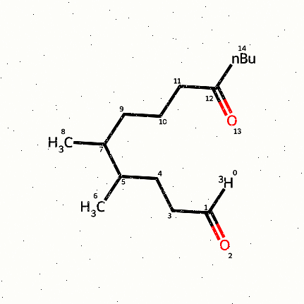 [3H]C(=O)CCC(C)C(C)CCCC(=O)CCCC